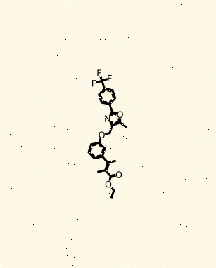 CCOC(=O)/C(C)=C(\C)c1cccc(OCc2nc(-c3ccc(C(F)(F)F)cc3)oc2C)c1